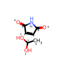 CC(O)O.O=C1C=CC(=O)N1